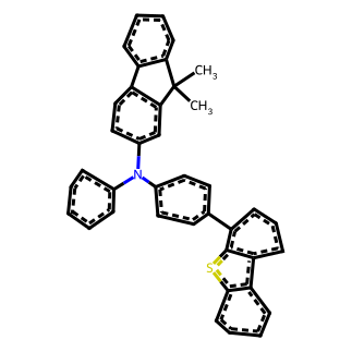 CC1(C)c2ccccc2-c2ccc(N(c3ccccc3)c3ccc(-c4cccc5c4sc4ccccc45)cc3)cc21